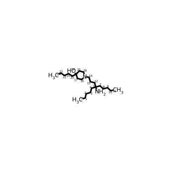 CCCCCC(N)(CCCCC)CCCN1CCC(O)(CCCCC)CC1